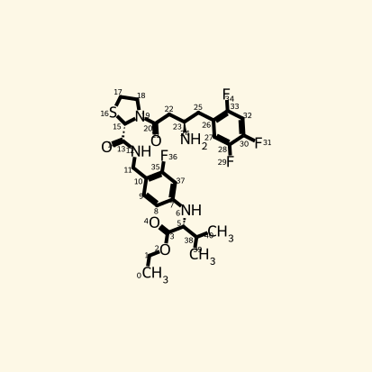 CCOC(=O)[C@H](Nc1ccc(CNC(=O)[C@@H]2SCCN2C(=O)C[C@H](N)Cc2cc(F)c(F)cc2F)c(F)c1)C(C)C